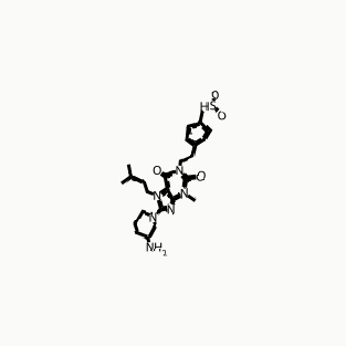 CC(C)=CCn1c(N2CCCC(N)C2)nc2c1c(=O)n(CCc1ccc(C[SH](=O)=O)cc1)c(=O)n2C